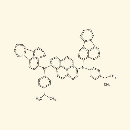 CC(C)c1ccc(N(c2ccc3c4c(cccc24)-c2ccccc2-3)c2ccc3ccc4c(N(c5ccc(C(C)C)cc5)c5ccc6c7c(cccc57)-c5ccccc5-6)ccc5ccc2c3c54)cc1